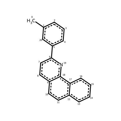 Cc1cccc(-c2ccc3ccc4ccccc4c3n2)c1